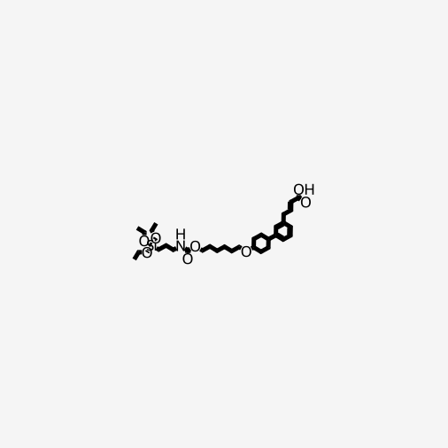 CCO[Si](CCCNC(=O)OCCCCCCOC1CCC(c2cccc(CC=CC(=O)O)c2)CC1)(OCC)OCC